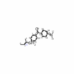 C/C=C(\C)[SiH2]c1ccc(C(=O)c2ccc(N(C)C)cc2)cc1